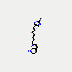 OC(/C=C/c1cnc(C(F)(F)F)nc1)CCCCc1ccc2c(n1)NCCC2